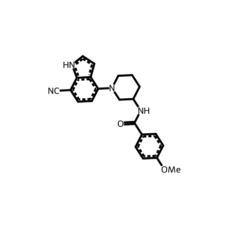 COc1ccc(C(=O)NC2CCCN(c3ccc(C#N)c4[nH]ccc34)C2)cc1